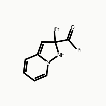 CC(C)C(=O)C1(C(C)C)C=C2C=CC=CN2N1